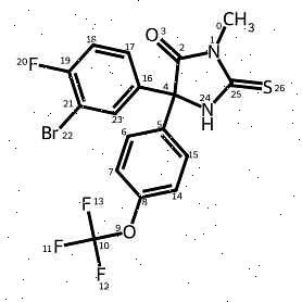 CN1C(=O)C(c2ccc(OC(F)(F)F)cc2)(c2ccc(F)c(Br)c2)NC1=S